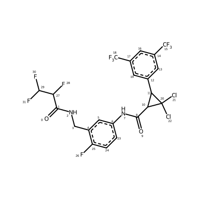 O=C(NCc1cc(NC(=O)C2C(c3cc(C(F)(F)F)cc(C(F)(F)F)c3)C2(Cl)Cl)ccc1F)C(F)C(F)F